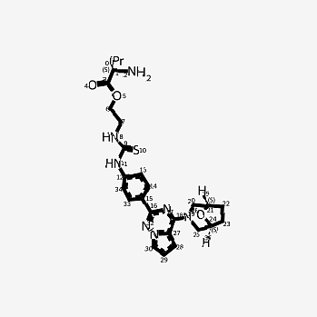 CC(C)[C@H](N)C(=O)OCCNC(=S)Nc1ccc(-c2nc(N3C[C@@H]4CC[C@@H](C3)O4)c3cccn3n2)cc1